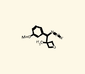 COc1cccc(C(N=[N+]=[N-])C2(C)COC2)c1